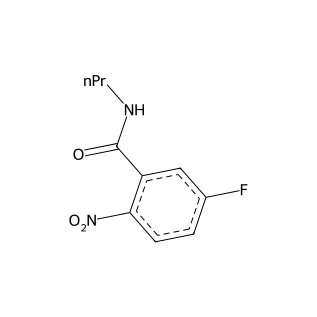 CCCNC(=O)c1cc(F)ccc1[N+](=O)[O-]